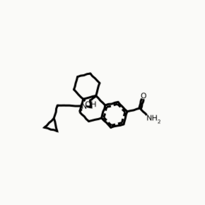 NC(=O)c1ccc2c(c1)C13CCCCC1(O)C(C2)N(CC1CC1)CC3